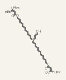 CCCCCCC(=CC(=O)OCCCCCCCCCCCN(CCCO)CCCCCCCCCCCOC(=O)/C=C(\CCCC)CCCCCC)CCCC